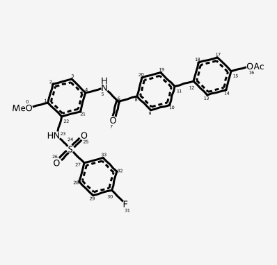 COc1ccc(NC(=O)c2ccc(-c3ccc(OC(C)=O)cc3)cc2)cc1NS(=O)(=O)c1ccc(F)cc1